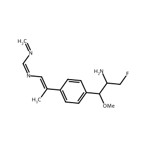 C=N/C=N\C=C(/C)c1ccc(C(OC)C(N)CF)cc1